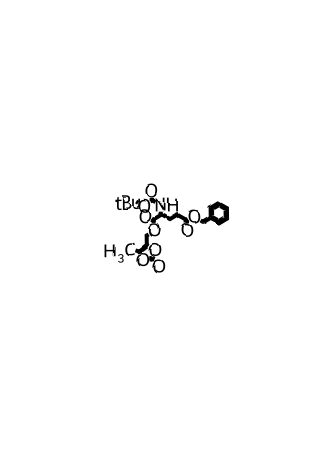 Cc1oc(=O)oc1COC(=O)C(CCC(=O)OCc1ccccc1)NC(=O)OC(C)(C)C